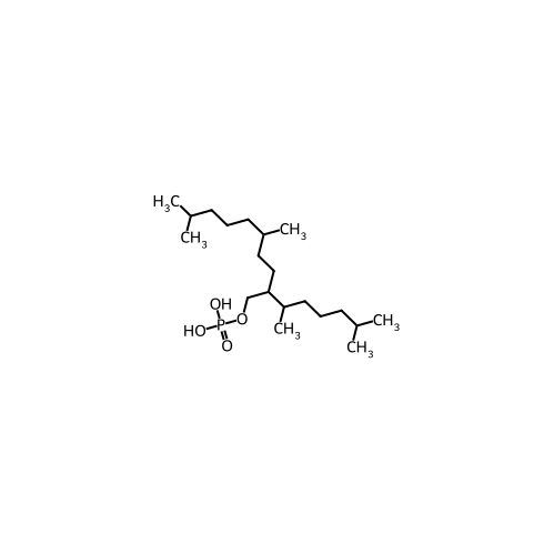 CC(C)CCCC(C)CCC(COP(=O)(O)O)C(C)CCCC(C)C